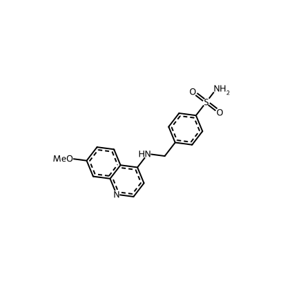 COc1ccc2c(NCc3ccc(S(N)(=O)=O)cc3)ccnc2c1